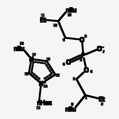 CCCCC(CC)COP(=O)([O-])OCC(CC)CCCC.CCCCCC[n+]1ccn(CCCC)c1